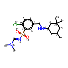 CC1CC(NCc2ccc(Cl)c(S(=O)(=O)/N=C/N(C)C)c2)CC(C)(C)C1